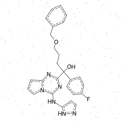 OC(CCCOCc1ccccc1)(c1ccc(F)cc1)c1nc(Nc2ccn[nH]2)n2cccc2n1